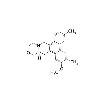 COc1cc2c3c(c4ccc(C)cc4c2cc1C)CN1CCOC[C@@H]1C3